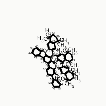 CC1(C)CCC(C)(C)c2cc(N3B4c5cc6c(cc5N(c5ccc7c(c5)C(C)(C)CCC7(C)C)c5c4c(cc4c5oc5ccccc54)-c4ccc5c(sc7ccccc75)c43)C(C)(C)CCC6(C)C)ccc21